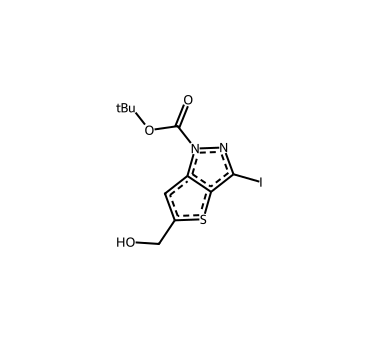 CC(C)(C)OC(=O)n1nc(I)c2sc(CO)cc21